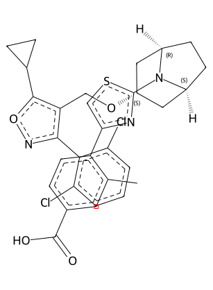 Cc1cc(C(=O)O)ccc1-c1csc(N2[C@@H]3CC[C@H]2C[C@H](OCc2c(-c4c(Cl)cccc4Cl)noc2C2CC2)C3)n1